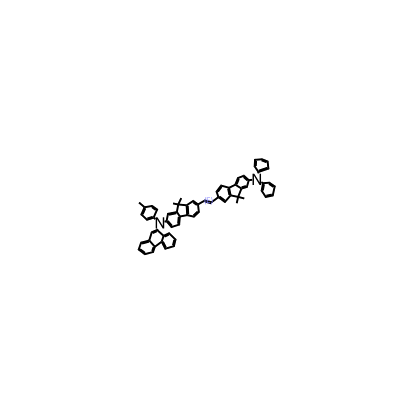 Cc1ccc(N(c2ccc3c(c2)C(C)(C)c2cc(/C=C/c4ccc5c(c4)C(C)(C)c4cc(N(c6ccccc6)c6ccccc6)ccc4-5)ccc2-3)c2cc3ccccc3c3ccccc23)cc1